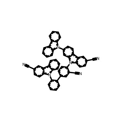 N#Cc1ccc2c(c1)c1ccc(-n3c4ccccc4c4ccccc43)cc1n2-c1ccc(-c2ccccc2-n2c3ccccc3c3cc(C#N)ccc32)cc1C#N